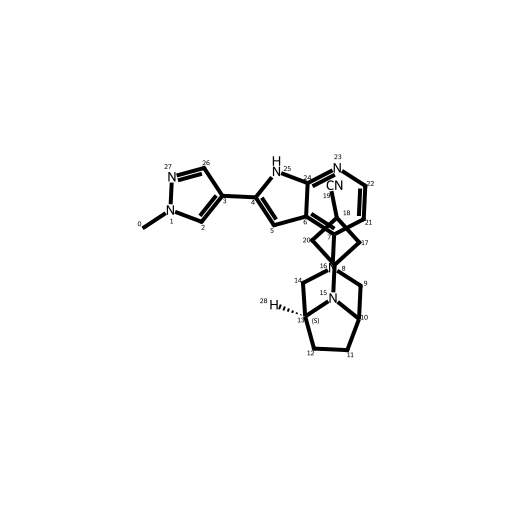 Cn1cc(-c2cc3c(N4CC5CC[C@@H](C4)N5C4CC(C#N)C4)ccnc3[nH]2)cn1